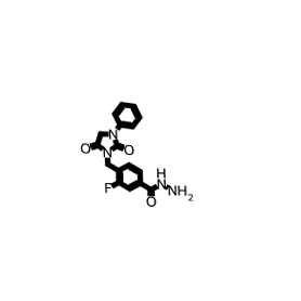 NNC(=O)c1ccc(CN2C(=O)CN(c3ccccc3)C2=O)c(F)c1